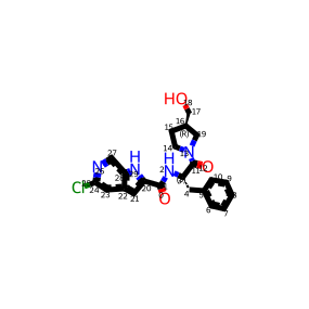 O=C(N[C@@H](Cc1ccccc1)C(=O)N1CC[C@@H](CO)C1)c1cc2cc(Cl)ncc2[nH]1